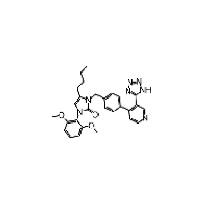 CCCCc1cn(-c2c(OC)cccc2OC)c(=O)n1Cc1ccc(-c2ccncc2-c2nnn[nH]2)cc1